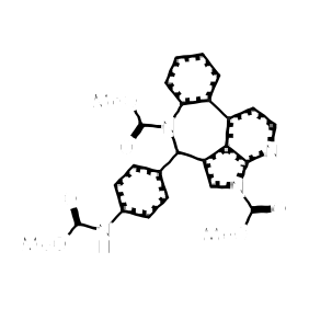 COC(=O)Nc1ccc(C2c3cn(C(=O)OC)c4nccc(c34)-c3ccccc3N2C(=O)OC)cc1